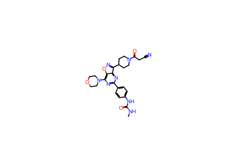 CNC(=O)Nc1ccc(-c2nc(N3CCOCC3)c3onc(C4CCN(C(=O)CC#N)CC4)c3n2)cc1